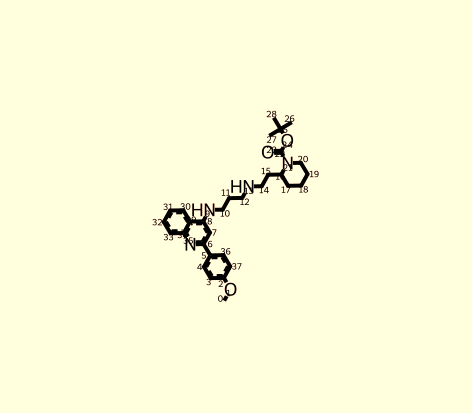 COc1ccc(-c2cc(NCCCNCCC3CCCCN3C(=O)OC(C)(C)C)c3ccccc3n2)cc1